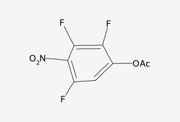 CC(=O)Oc1cc(F)c([N+](=O)[O-])c(F)c1F